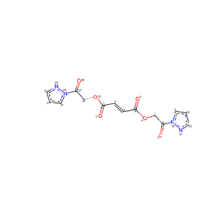 O=C(/C=C/C(=O)OCC(=O)n1cccn1)OCC(=O)n1cccn1